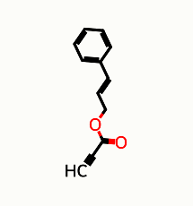 C#CC(=O)OCC=Cc1ccccc1